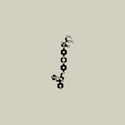 CC[C@@H](C)n1ncn(-c2ccc(N3CCN(c4ccc(OCC5COC(Cn6cncn6)(c6ccncc6)O5)cc4)CC3)cc2)c1=O